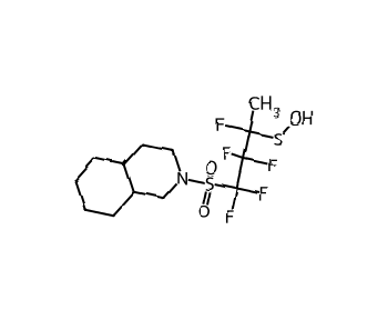 CC(F)(SO)C(F)(F)C(F)(F)S(=O)(=O)N1CCC2CCCCC2C1